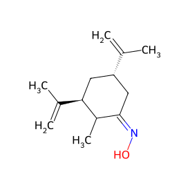 C=C(C)[C@@H]1C/C(=N/O)C(C)[C@@H](C(=C)C)C1